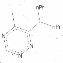 CCCC(CCC)c1nncnc1C